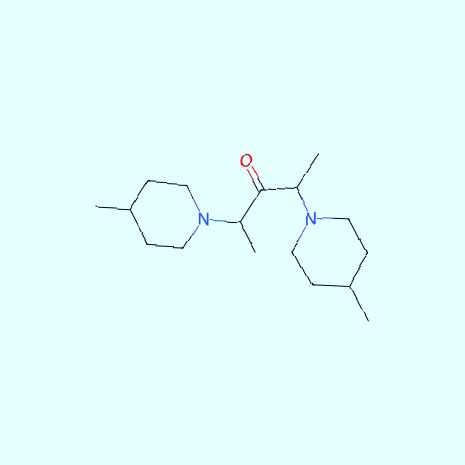 CC1CCN(C(C)C(=O)C(C)N2CCC(C)CC2)CC1